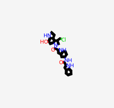 O=C(Nc1ccc2[nH]c(C(=O)N3CC(CCl)c4c3cc(O)c3[nH]ccc43)cc2c1)c1cc2ccccc2[nH]1